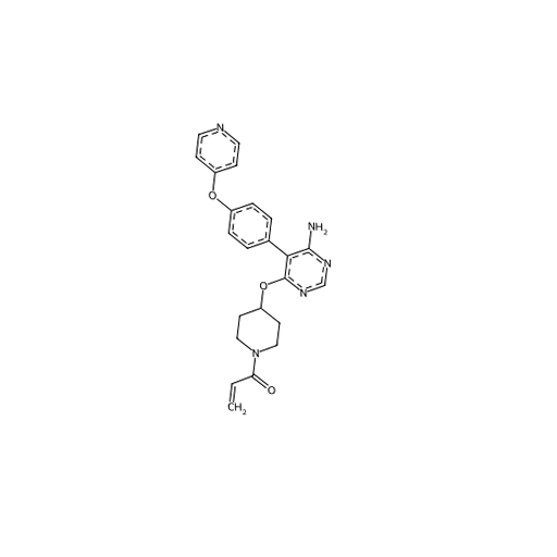 C=CC(=O)N1CCC(Oc2ncnc(N)c2-c2ccc(Oc3ccncc3)cc2)CC1